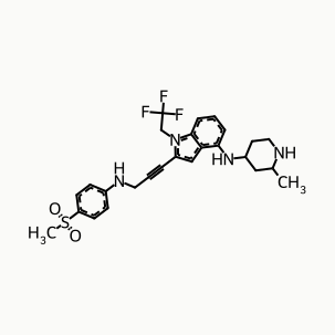 CC1CC(Nc2cccc3c2cc(C#CCNc2ccc(S(C)(=O)=O)cc2)n3CC(F)(F)F)CCN1